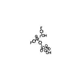 O=C(O)[C@@H]1CCCN1C(=O)COC1(CCc2ccc([C@@H]3[C@@H](CC[C@H](O)c4ccc(F)cc4)C(=O)N3c3ccc(F)cc3)cc2)COC1